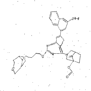 O=COC12CCC(CN(c3nc(OCCCN4C5CCC4COC5)nc4cc(-c5cc(O)cc6ccccc56)sc34)C1)N2